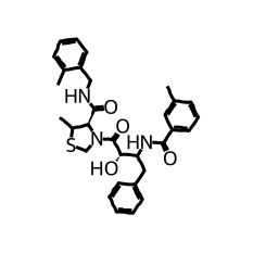 Cc1cccc(C(=O)NC(Cc2ccccc2)[C@H](O)C(=O)N2CSC(C)[C@H]2C(=O)NCc2ccccc2C)c1